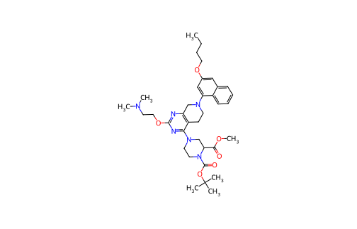 CCCCOc1cc(N2CCc3c(nc(OCCN(C)C)nc3N3CCN(C(=O)OC(C)(C)C)C(C(=O)OC)C3)C2)c2ccccc2c1